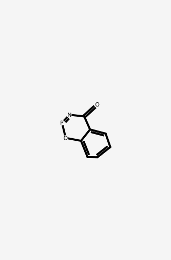 O=c1npoc2ccccc12